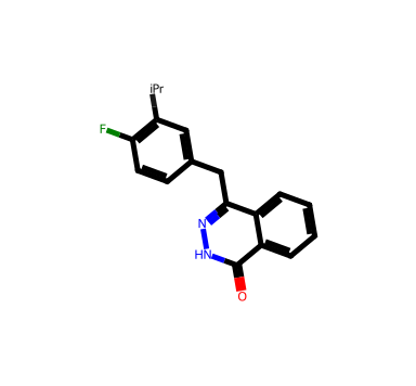 CC(C)c1cc(Cc2n[nH]c(=O)c3ccccc23)ccc1F